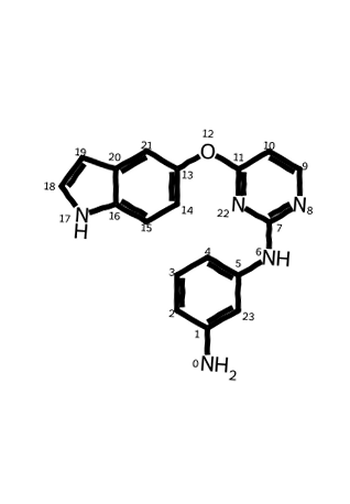 Nc1cccc(Nc2nccc(Oc3ccc4[nH]ccc4c3)n2)c1